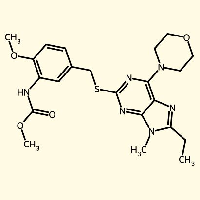 CCc1nc2c(N3CCOCC3)nc(SCc3ccc(OC)c(NC(=O)OC)c3)nc2n1C